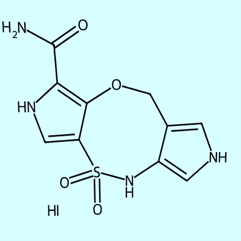 I.NC(=O)c1[nH]cc2c1OCc1c[nH]cc1NS2(=O)=O